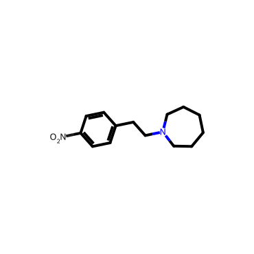 O=[N+]([O-])c1ccc(CCN2CCCCCC2)cc1